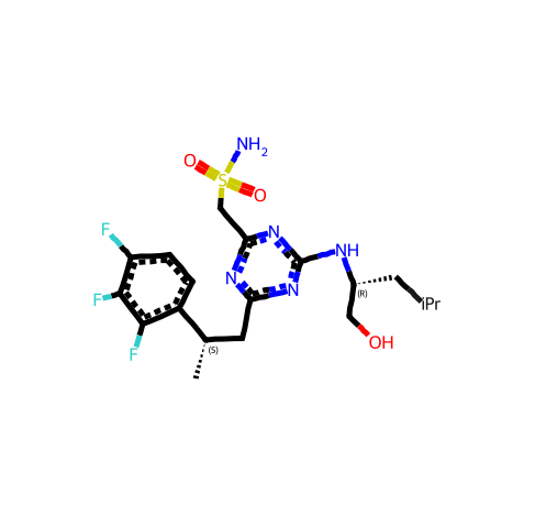 CC(C)C[C@H](CO)Nc1nc(C[C@H](C)c2ccc(F)c(F)c2F)nc(CS(N)(=O)=O)n1